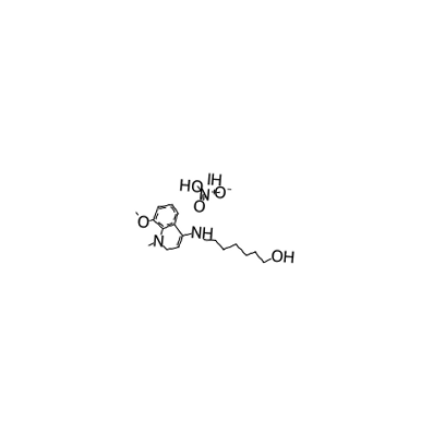 COc1cccc2c1N(C)CC=C2NCCCCCCCO.I.O=[N+]([O-])O